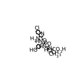 CC1(C)S[C@@H]2C(NC(=O)C(NC(=O)c3cnc4cc(Cl)ccc4c3N)c3ccc(O)cc3)C(=O)N2[C@H]1C(=O)O